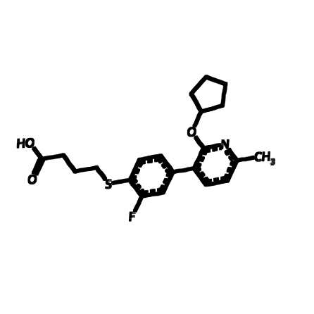 Cc1ccc(-c2ccc(SCCCC(=O)O)c(F)c2)c(OC2CCCC2)n1